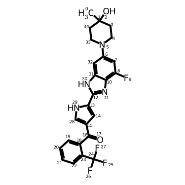 CC1(O)CCN(c2cc(F)c3nc(-c4cc(C(=O)c5ccccc5C(F)(F)F)c[nH]4)[nH]c3c2)CC1